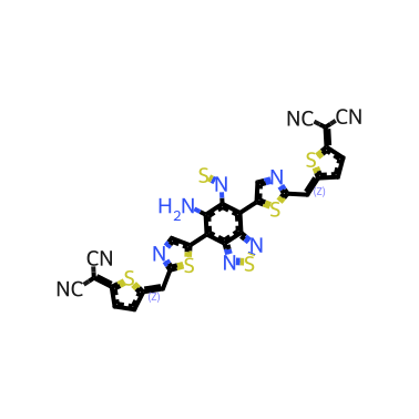 N#CC(C#N)=c1cc/c(=C/c2ncc(-c3c(N)c(N=S)c(-c4cnc(/C=c5/ccc(=C(C#N)C#N)s5)s4)c4nsnc34)s2)s1